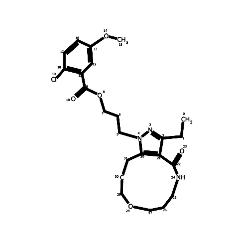 CCc1nn(CCCOC(=O)c2cc(OC)ccc2Cl)c2c1C(=O)NCCCOCCC2